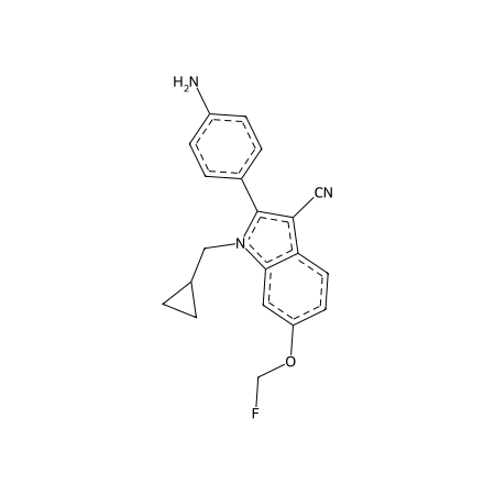 N#Cc1c(-c2ccc(N)cc2)n(CC2CC2)c2cc(OCF)ccc12